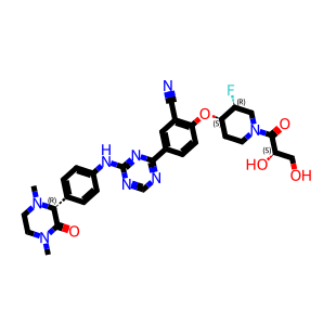 CN1CCN(C)[C@H](c2ccc(Nc3ncnc(-c4ccc(O[C@H]5CCN(C(=O)[C@@H](O)CO)C[C@H]5F)c(C#N)c4)n3)cc2)C1=O